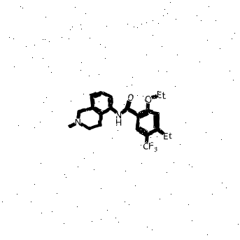 CCOc1cc(CC)c(C(F)(F)F)cc1C(=O)Nc1cccc2c1CCN(C)C2